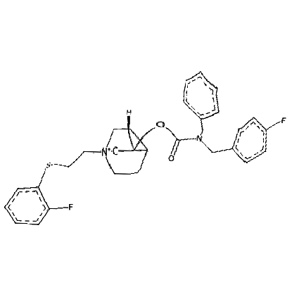 O=C(O[C@H]1C[N+]2(CCSc3ccccc3F)CCC1CC2)N(Cc1ccc(F)cc1)c1ccccc1